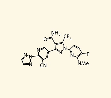 CNc1nc(-n2nc(-c3cnc(-n4nccn4)c(C#N)c3)c(C(N)=O)c2C(F)(F)F)ccc1F